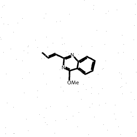 C/C=C/c1nc(OC)c2ccccc2n1